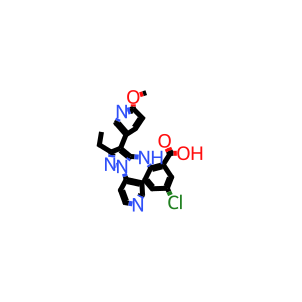 CCc1nn(-c2ccncc2)c(Nc2ccc(Cl)cc2C(=O)O)c1-c1ccc(OC)nc1